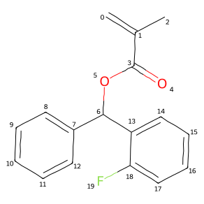 C=C(C)C(=O)OC(c1ccccc1)c1ccccc1F